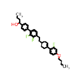 C=CCCOc1ccc(C2=CCC(CCc3ccc(-c4ccc(C(O)CCC)cc4)c(F)c3F)CC2)c(F)c1